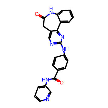 O=C1Cc2cnc(Nc3ccc(C(=O)Nc4cccnc4)cc3)nc2-c2ccccc2N1